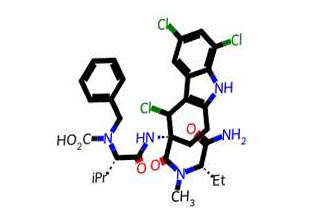 CC[C@@H](C(N)=O)N(C)C(=O)[C@]1(NC(=O)[C@H](C(C)C)N(Cc2ccccc2)C(=O)O)CCc2[nH]c3c(Cl)cc(Cl)cc3c2C1Cl